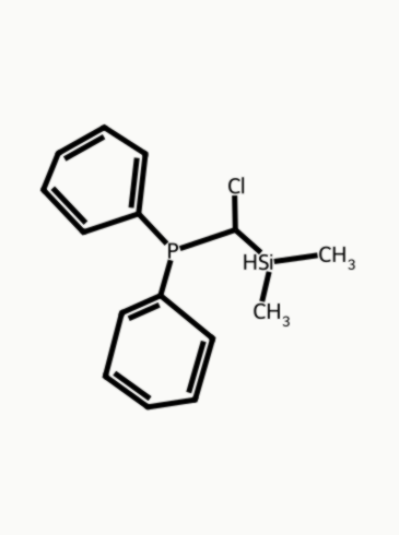 C[SiH](C)C(Cl)P(c1ccccc1)c1ccccc1